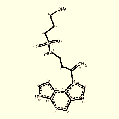 C=C(CCNS(=O)(=O)CCCOC)n1cnc2cnc3[nH]ccc3c21